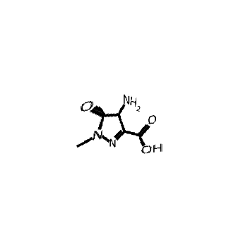 CN1N=C(C(=O)O)C(N)C1=O